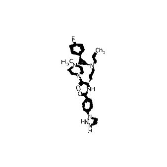 C=CCN(CCC[C@H](NC(=O)c1ccc(N2C=CNN2)cc1)C(=O)N1CCN(C)CC1)[C@@H]1C[C@H]1c1ccc(F)cc1